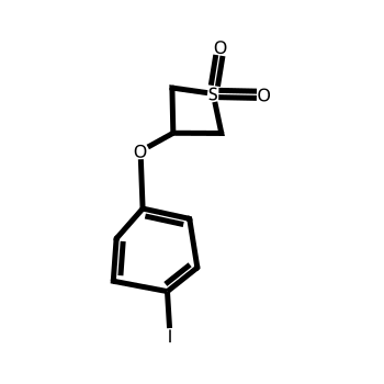 O=S1(=O)CC(Oc2ccc(I)cc2)C1